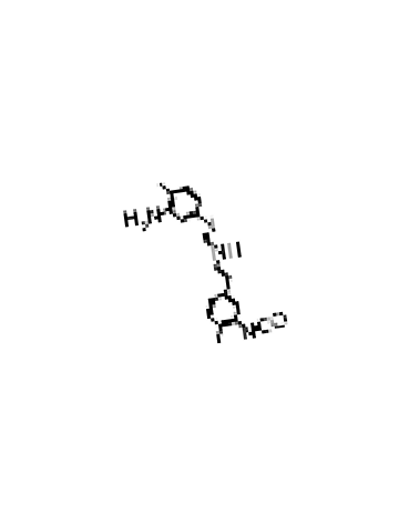 Cc1ccc(N=CNCCc2ccc(C)c(N=C=O)c2)cc1N